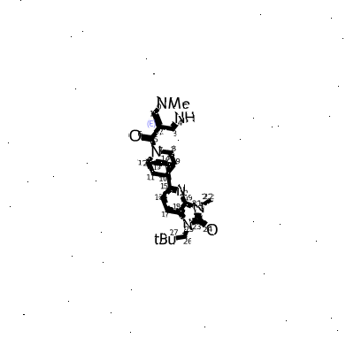 CN/C=C(\C=N)C(=O)N1CC2CCC1C=C2c1ccc2c(n1)n(C)c(=O)n2CC(C)(C)C